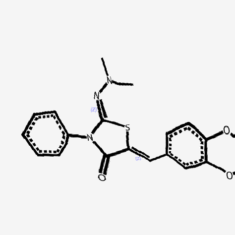 CN(C)/N=C1\S/C(=C\c2ccc3c(c2)OCCO3)C(=O)N1c1ccccc1